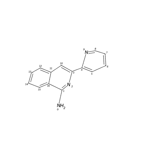 Nc1nc(-c2ccccn2)cc2c[c]ccc12